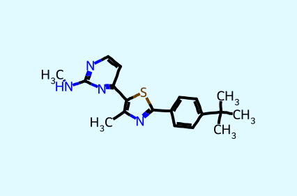 CNc1nccc(-c2sc(-c3ccc(C(C)(C)C)cc3)nc2C)n1